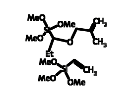 C=C(C)COC(CC)[Si](OC)(OC)OC.C=C[Si](OC)(OC)OC